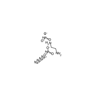 NCCN.O=[PH]([O-])[O-].O=[PH]([O-])[O-].[Na+].[Na+].[Na+].[Na+]